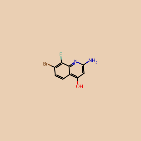 Nc1cc(O)c2ccc(Br)c(F)c2n1